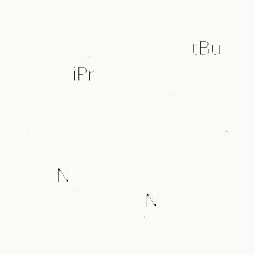 CC(C)c1c(C(C)(C)C)ccnc1N(C)C